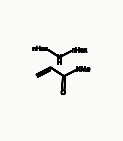 C=CC(=O)NC.CCCCCCNCCCCCC